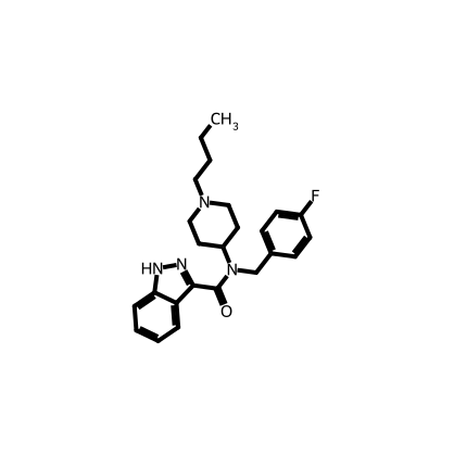 CCCCN1CCC(N(Cc2ccc(F)cc2)C(=O)c2n[nH]c3ccccc23)CC1